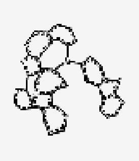 c1ccc(-c2nc3ccc4cccc(N(c5ccc6sc7ccccc7c6c5)c5ccc6sc7ccccc7c6c5)c4c3o2)cc1